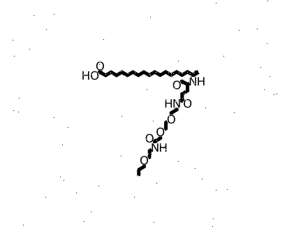 C=C(CCCCCCCCCCCCCCCCC(=O)O)NC(C=O)CCC(=O)NCCOCCOCC(=O)NCCOCCC